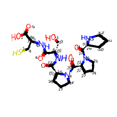 O=C(O)[C@H](CS)NC(=O)[C@H](CO)NC(=O)[C@@H]1CCCN1C(=O)[C@@H]1CCCN1C(=O)[C@@H]1CCCN1